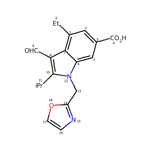 CCc1cc(C(=O)O)cc2c1c(C=O)c(C(C)C)n2Cc1ncco1